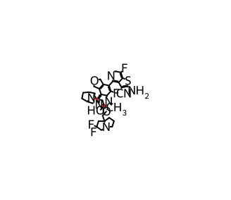 C[C@@H](O)CN1CC2CCC(C1)N2c1nc(OCC23CCCN2CC(F)(F)C3)nc2c(F)c(-c3ncc(F)c4sc(N)c(C#N)c34)c3c(c12)COC3